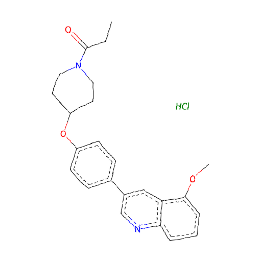 CCC(=O)N1CCC(Oc2ccc(-c3cnc4cccc(OC)c4c3)cc2)CC1.Cl